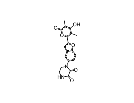 Cc1c(-c2cc3cc(N4CCNC(=O)C4=O)ccc3o2)oc(=O)c(C)c1O